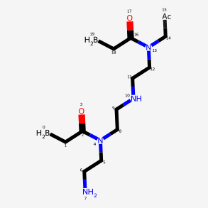 BCC(=O)N(CCN)CCNCCN(CC(C)=O)C(=O)CB